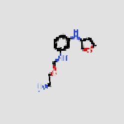 NCCOCNc1cccc(NC2CCOC2)c1